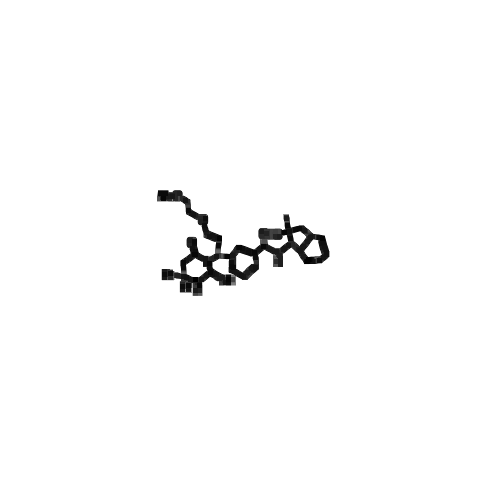 CCC1(CC)CC(=O)N(C(/C=C/OCCOC)c2cccc(C(=O)NC3C4C=CC=CC4CC3(C)O)c2)C(=N)N1